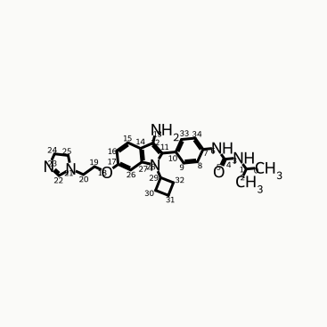 CC(C)NC(=O)Nc1ccc(-c2c(N)c3ccc(OCCN4C=NCC4)cc3n2C2CCC2)cc1